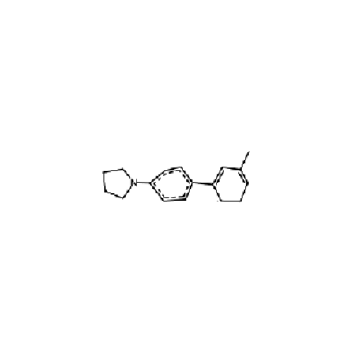 CC1=CC[CH]C(c2ccc(N3CCCC3)cc2)=C1